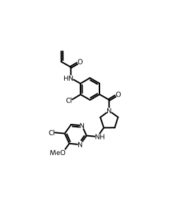 C=CC(=O)Nc1ccc(C(=O)N2CCC(Nc3ncc(Cl)c(OC)n3)C2)cc1Cl